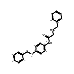 O=C(CNCc1ccccc1)Nc1ccc(OCc2ccccc2)cc1